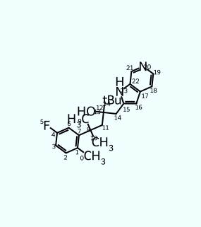 Cc1ccc(F)cc1C(C)(C)CC(O)(Cc1cc2ccncc2[nH]1)C(C)(C)C